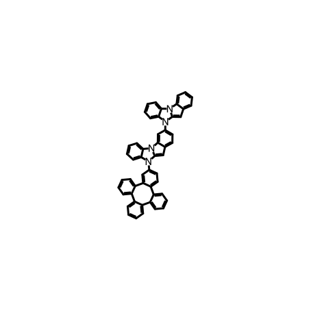 c1ccc2c(c1)-c1ccccc1-c1ccc(-n3c4ccccc4n4c5cc(-n6c7ccccc7n7c8ccccc8cc67)ccc5cc34)cc1-c1ccccc1-2